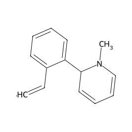 [CH]=Cc1ccccc1C1C=CC=CN1C